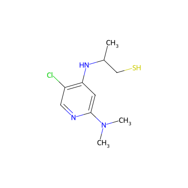 CC(CS)Nc1cc(N(C)C)ncc1Cl